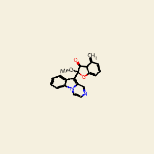 C=C1C=CC=C2OC(OC)(c3c4ccccc4n4ccncc34)C(=O)C12